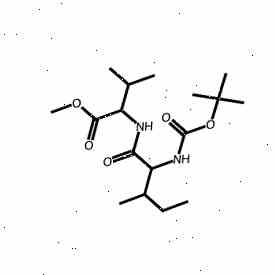 CCC(C)C(NC(=O)OC(C)(C)C)C(=O)NC(C(=O)OC)C(C)C